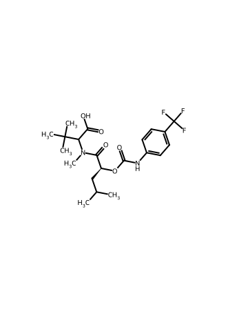 CC(C)C[C@H](OC(=O)Nc1ccc(C(F)(F)F)cc1)C(=O)N(C)C(C(=O)O)C(C)(C)C